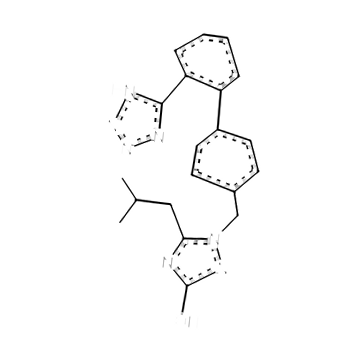 CC(C)Cc1nc(O)nn1Cc1ccc(-c2ccccc2-c2nnn[nH]2)cc1